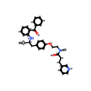 CCN(CCOc1ccc(C[C@H](Nc2ccccc2C(=O)c2ccccc2)C(=O)O)cc1)C(=O)CCc1cccnc1